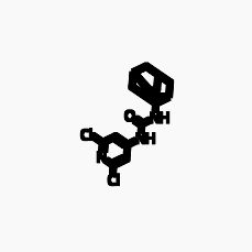 O=C(Nc1cc(Cl)nc(Cl)c1)NC1C2CC3CC(C2)CC1C3